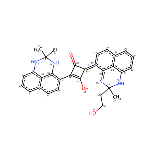 CCC1(C)Nc2cccc3ccc(C4=C(O)/C(=c5/ccc6cccc7c6c5=NC(C)(CCO)N7)C4=O)c(c23)N1